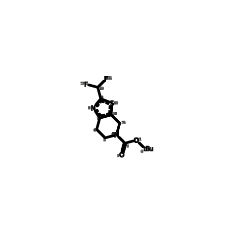 CC(C)(C)OC(=O)N1CCc2nc(C(F)F)sc2C1